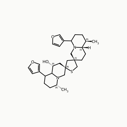 C[C@@H]1CCC(c2ccoc2)N2C[C@@]3(CC[C@@H]12)CS[C@@]1(C[C@@H](O)C2C(c4ccoc4)CC[C@@H](C)N2C1)C3